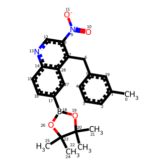 Cc1cccc(Cc2c([N+](=O)[O-])cnc3ccc(B4OC(C)(C)C(C)(C)O4)cc23)c1